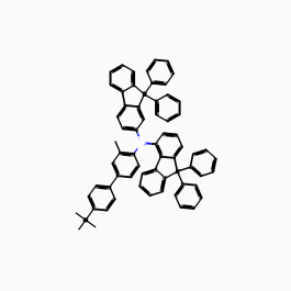 Cc1cc(-c2ccc(C(C)(C)C)cc2)ccc1N(c1ccc2c(c1)C(c1ccccc1)(c1ccccc1)c1ccccc1-2)c1cccc2c1-c1ccccc1C2(c1ccccc1)c1ccccc1